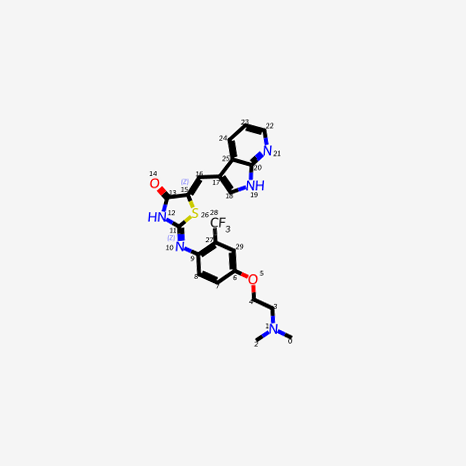 CN(C)CCOc1ccc(/N=C2/NC(=O)/C(=C/c3c[nH]c4ncccc34)S2)c(C(F)(F)F)c1